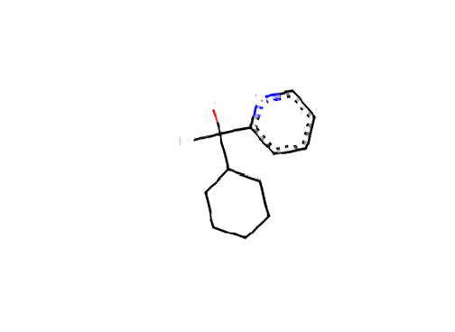 CC(C)C(O)(c1ccccn1)C1CCCCC1